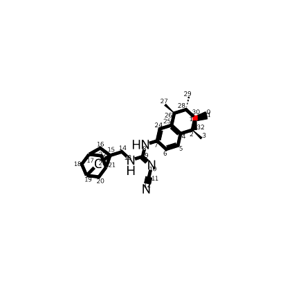 C=C[C@@H](C)c1ccc(N/C(=N/C#N)NCC23CC4CC(CC2C4)C3)cc1[C@@H](C)[C@H](C)C(C)C